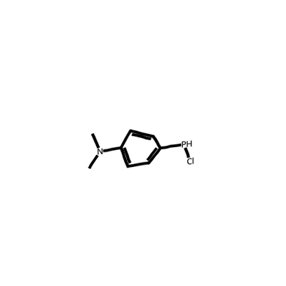 CN(C)c1ccc(PCl)cc1